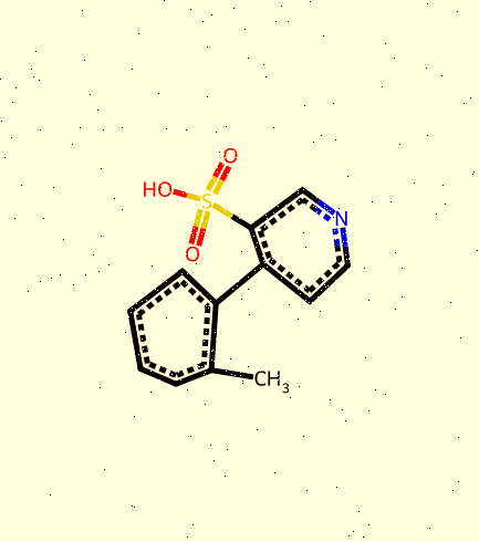 Cc1ccccc1-c1ccncc1S(=O)(=O)O